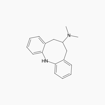 CN(C)C1Cc2ccccc2Nc2ccccc2C1